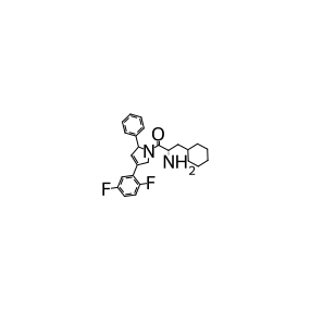 N[C@@H](CC1CCCCC1)C(=O)N1CC(c2cc(F)ccc2F)=CC1c1ccccc1